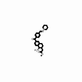 COC(=O)CC1CCc2cc(C(=O)c3ccc(C=NN4CCCCC4)cc3)ccc2C1N